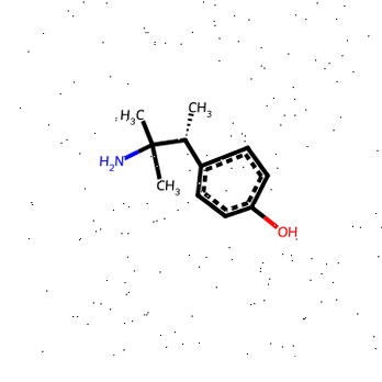 C[C@H](c1ccc(O)cc1)C(C)(C)N